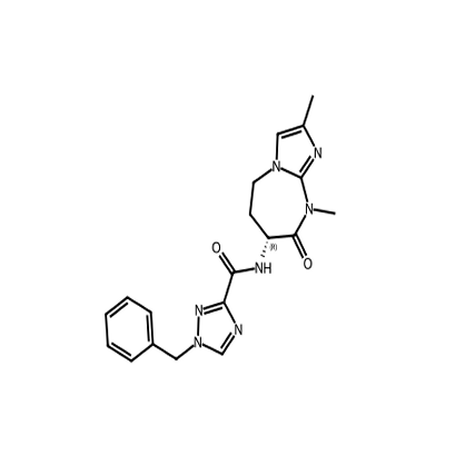 Cc1cn2c(n1)N(C)C(=O)[C@H](NC(=O)c1ncn(Cc3ccccc3)n1)CC2